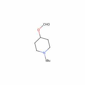 CC(C)(C)N1CCC(OC=O)CC1